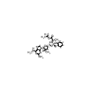 CNc1nc(N)nc2c1ncn2[C@@H]1O[C@H](COP(=O)(N[C@@H](C)C(=O)OC(C)C)Oc2ccccc2)C[C@@]1(C)F